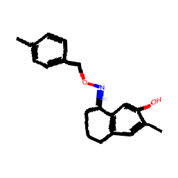 Cc1ccc(CO/N=C2\CCCc3cc(C)c(O)cc32)cc1